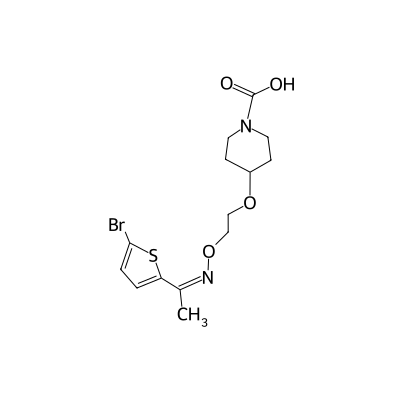 CC(=NOCCOC1CCN(C(=O)O)CC1)c1ccc(Br)s1